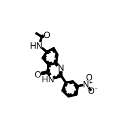 CC(=O)Nc1ccc2nc(-c3cccc([N+](=O)[O-])c3)[nH]c(=O)c2c1